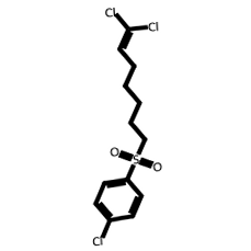 O=S(=O)(CCCCCC=C(Cl)Cl)c1ccc(Cl)cc1